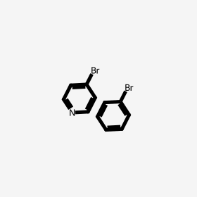 Brc1ccccc1.Brc1ccncc1